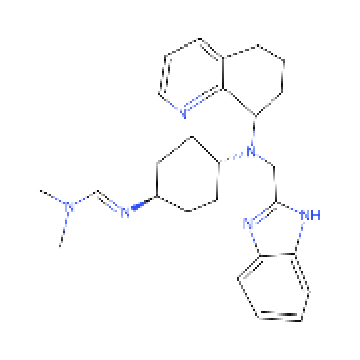 CN(C)C=N[C@H]1CC[C@H](N(Cc2nc3ccccc3[nH]2)C2CCCc3cccnc32)CC1